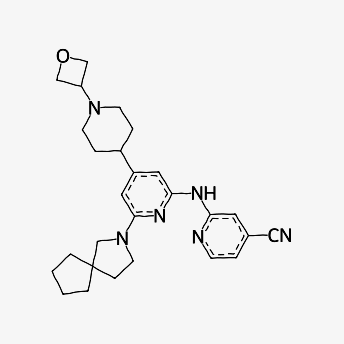 N#Cc1ccnc(Nc2cc(C3CCN(C4COC4)CC3)cc(N3CCC4(CCCC4)C3)n2)c1